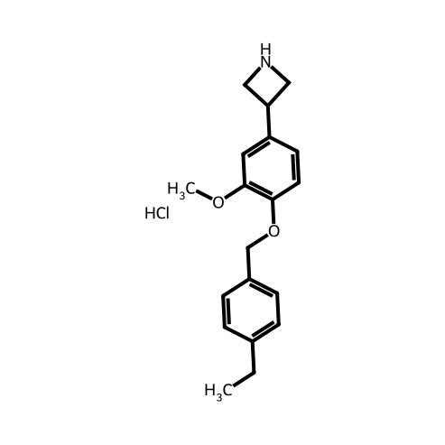 CCc1ccc(COc2ccc(C3CNC3)cc2OC)cc1.Cl